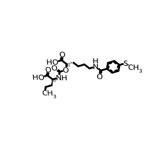 CCC[C@H](NC(=O)O[C@@H](CCCCNC(=O)c1ccc(SC)cc1)C(=O)O)C(=O)O